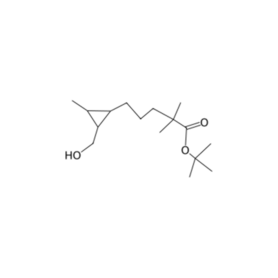 CC1C(CO)C1CCCC(C)(C)C(=O)OC(C)(C)C